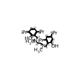 CC(C)c1cc(O)c(CN(C)CCN(C)Cc2c(C(C)C)ccc(C(C)C)c2O)c(C(C)C)c1